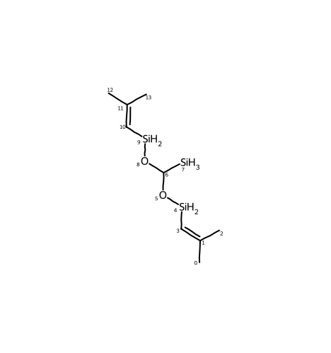 CC(C)=C[SiH2]OC([SiH3])O[SiH2]C=C(C)C